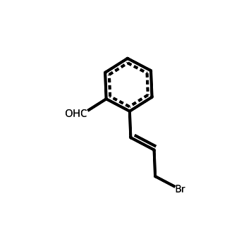 O=Cc1ccccc1/C=C/CBr